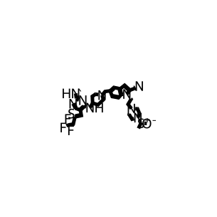 CNc1nc(NC2CCN(Cc3ccc4c(c3)cc(C#N)n4CCN3CCN([S+](C)[O-])CC3)CC2)c2cc(CC(F)(F)F)sc2n1